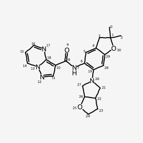 CC1(C)Cc2cc(NC(=O)c3cnn4cccnc34)c(N3CC4CCOC4C3)cc2O1